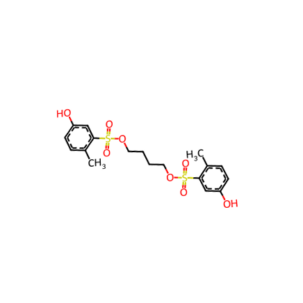 Cc1ccc(O)cc1S(=O)(=O)OCCCCOS(=O)(=O)c1cc(O)ccc1C